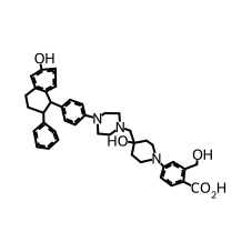 O=C(O)c1ccc(N2CCC(O)(CN3CCN(c4ccc(C5c6ccc(O)cc6CCC5c5ccccc5)cc4)CC3)CC2)cc1CO